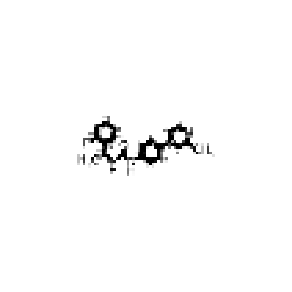 Cc1cc(-c2ccc(NC(=O)N[C@H](C)c3ccccc3F)cc2)ccn1